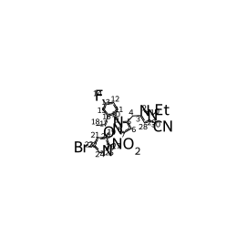 CCn1nc(Cc2ccnn2-c2ccc(F)cc2C(C)Oc2cc(Br)cnc2[N+](=O)[O-])cc1C#N